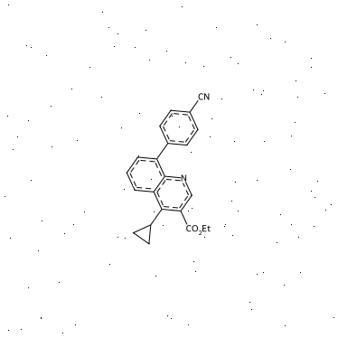 CCOC(=O)c1cnc2c(-c3ccc(C#N)cc3)cccc2c1C1CC1